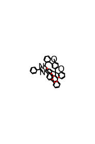 c1ccc(-c2ccc(-c3cc(-c4cccc5oc6cc7c(cc6c45)C4(c5ccccc5O7)c5ccccc5-c5ccccc54)nc(-c4ccccc4)n3)cc2)cc1